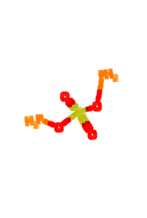 O=S(=O)(OP)OP